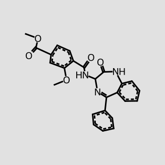 COC(=O)c1ccc(C(=O)NC2N=C(c3ccccc3)c3ccccc3NC2=O)c(OC)c1